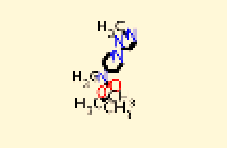 Cc1nccc(N2CCC(N(C)C(=O)OC(C)(C)C)CC2)n1